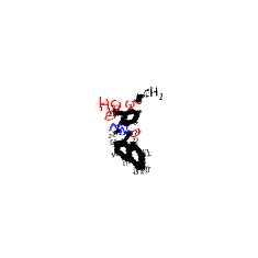 C=CCOc1ccc2c(ncn2C(=O)c2cccc3ccccc23)c1C(=O)O